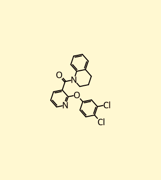 O=C(c1cccnc1Oc1ccc(Cl)c(Cl)c1)N1CCCc2ccccc21